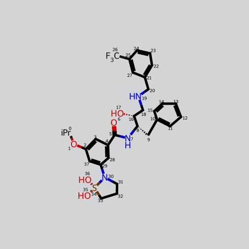 CC(C)Oc1cc(C(=O)N[C@@H](Cc2ccccc2)[C@H](O)CNCc2cccc(C(F)(F)F)c2)cc(N2CCCS2(O)O)c1